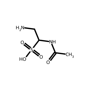 CC(=O)NC(CN)S(=O)(=O)O